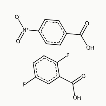 O=C(O)c1cc(F)ccc1F.O=C(O)c1ccc([N+](=O)[O-])cc1